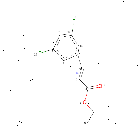 CCOC(=O)/C=C/c1cc(F)cc(F)c1